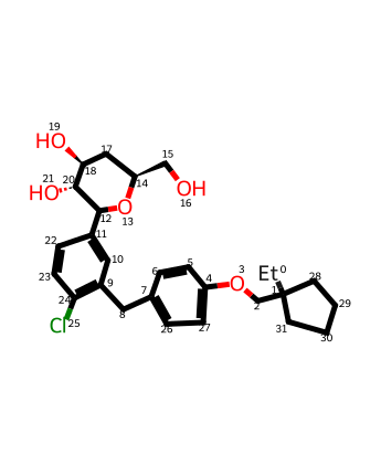 CCC1(COc2ccc(Cc3cc(C4O[C@H](CO)C[C@H](O)[C@H]4O)ccc3Cl)cc2)CCCC1